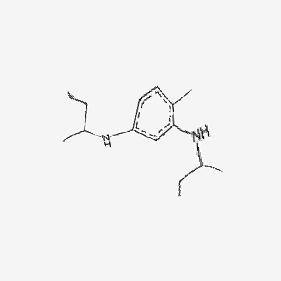 CCC(C)Nc1ccc(C)c(NC(C)CC)c1